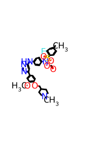 COc1cc(-c2cc(Nc3ccc(N(OC=O)S(=O)(=O)c4ccc(C)cc4F)cc3)ncn2)ccc1OCC1CCN(C)CC1